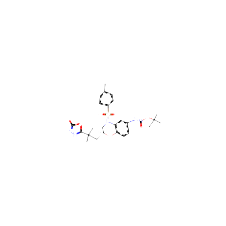 Cc1ccc(S(=O)(=O)N2C[C@H](CC(C)(C)c3n[nH]c(=O)o3)Oc3ccc(NC(=O)OC(C)(C)C)cc32)cc1